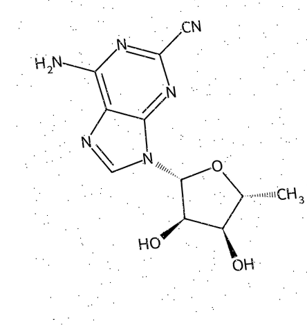 C[C@H]1O[C@@H](n2cnc3c(N)nc(C#N)nc32)[C@H](O)[C@@H]1O